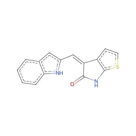 O=C1Nc2sccc2C1=Cc1cc2ccccc2[nH]1